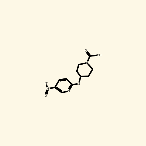 O=C(O)N1CCC(Oc2ccc([N+](=O)[O-])cn2)CC1